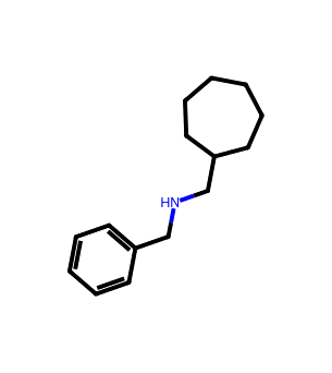 c1ccc(CNCC2CCCCCC2)cc1